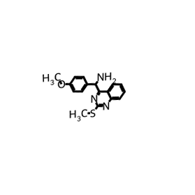 COc1ccc(C(N)c2nc(SC)nc3ccccc23)cc1